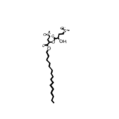 CCCCCCCCCCCCCCCCOC(=O)C(CC[S+](C)[O-])OC(=O)C(O)CC[S+](C)[O-]